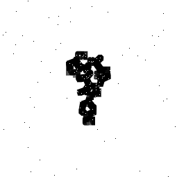 Cc1cnc(C(C)Oc2cc(-c3nnn(C4CCN(C#N)CC4)c3C)cn3ncc(C#N)c23)s1